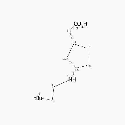 CC(C)(C)CCN[C@H]1CC[C@@H](CC(=O)O)C1